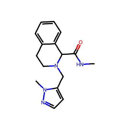 CNC(=O)C1c2ccccc2CCN1Cc1ccnn1C